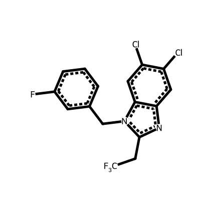 Fc1cccc(Cn2c(CC(F)(F)F)nc3cc(Cl)c(Cl)cc32)c1